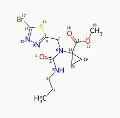 CCCNC(=O)N(Cc1nnc(Br)s1)C1(C(=O)OC)CC1